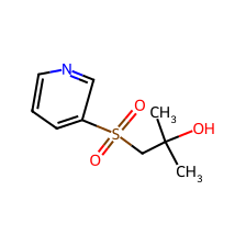 CC(C)(O)CS(=O)(=O)c1cccnc1